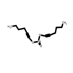 CCCCC#CO[PH](=O)OC#CCCCC